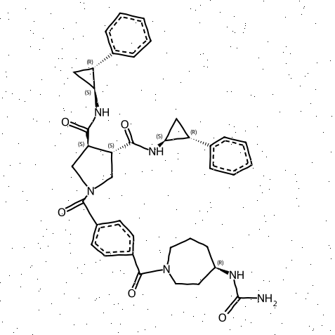 NC(=O)N[C@@H]1CCCN(C(=O)c2ccc(C(=O)N3C[C@@H](C(=O)N[C@H]4C[C@@H]4c4ccccc4)[C@H](C(=O)N[C@H]4C[C@@H]4c4ccccc4)C3)cc2)CC1